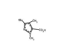 Cc1c(C(C)(C)C)nn(C)c1C(=O)O